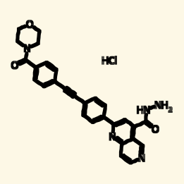 Cl.NNC(=O)c1cc(-c2ccc(C#Cc3ccc(C(=O)N4CCOCC4)cc3)cc2)nc2ccncc12